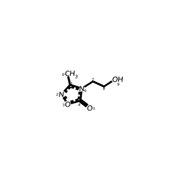 Cc1noc(=O)n1CCO